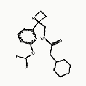 O=C(CC1CCCCC1)NCC1(c2cccc(OC(F)F)n2)CCO1